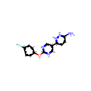 Nc1ccc(-c2cnc(Oc3ccc(F)cc3)nc2)nn1